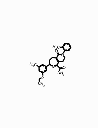 CCSc1cc(C)cc(C2CCC3=C(CCN(c4ccccc4C)C3=O)C(C(N)=O)=N2)c1